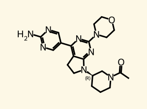 CC(=O)N1CCC[C@@H](N2CCc3c(-c4cnc(N)nc4)nc(N4CCOCC4)nc32)C1